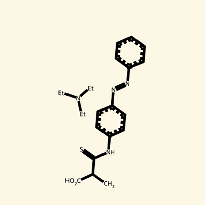 CC(C(=O)O)C(=S)Nc1ccc(N=Nc2ccccc2)cc1.CCN(CC)CC